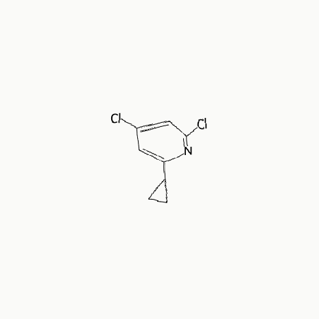 Clc1cc(Cl)nc(C2CC2)c1